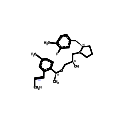 Cc1ccc(C[C@@H]2CCCN2C[C@H](O)CO[C@H](C)c2ccc(C(F)(F)F)cc2/C=C/C(=O)O)cc1F